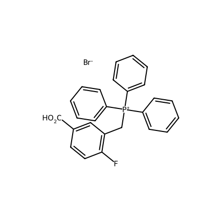 O=C(O)c1ccc(F)c(C[P+](c2ccccc2)(c2ccccc2)c2ccccc2)c1.[Br-]